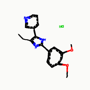 CCc1nc(-c2ccc(OC)c(OC)c2)[nH]c1-c1cccnc1.Cl